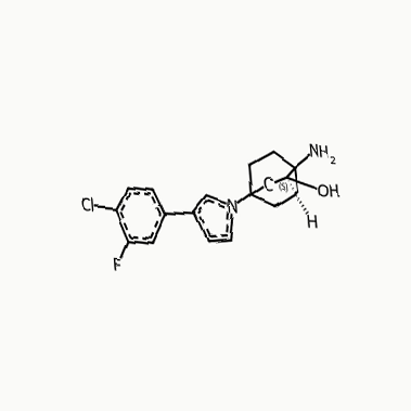 NC12CCC(n3ccc(-c4ccc(Cl)c(F)c4)c3)(CC1)C[C@@H]2O